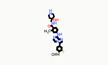 COc1ccc(-c2cnc3c(Nc4ccc(C(=O)NCC5(O)CCNCC5)c(C)c4)nccn23)cc1F